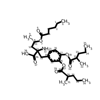 CCCCCC(=O)O[C@@H](C)CC(N)(Cc1ccc(OC(=O)C(C)CCC)c(OC(=O)C(C)CCC)c1)C(=O)O